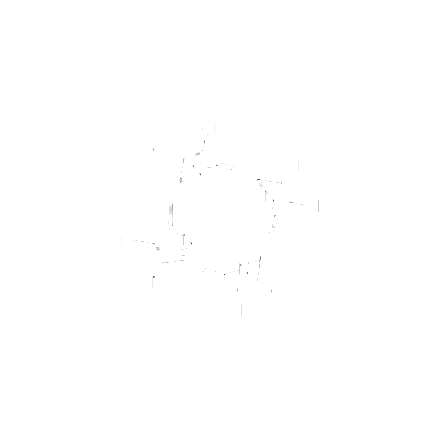 ClC1=C(Cl)C2=NC1=CC1=NC(=CC3=NC(=CC4=NC(=C2)C(Cl)=C4Cl)C(Cl)=C3Cl)C(Cl)=C1Cl